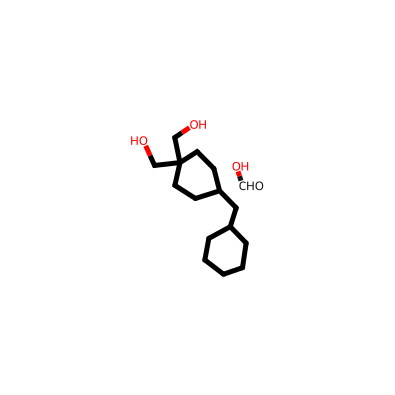 O=CO.OCC1(CO)CCC(CC2CCCCC2)CC1